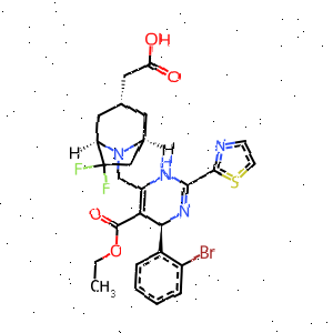 CCOC(=O)C1=C(CN2[C@H]3C[C@@H](CC(=O)O)C[C@@H]2C(F)(F)C3)NC(c2nccs2)=N[C@H]1c1ccccc1Br